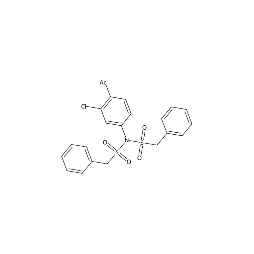 CC(=O)c1ccc(N(S(=O)(=O)Cc2ccccc2)S(=O)(=O)Cc2ccccc2)cc1Cl